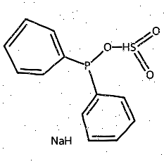 O=[SH](=O)OP(c1ccccc1)c1ccccc1.[NaH]